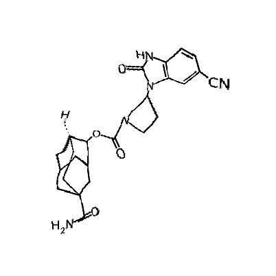 N#Cc1ccc2[nH]c(=O)n(C3CCN(C(=O)OC4C5CC6C[C@@H]4CC(C(N)=O)(C6)C5)C3)c2c1